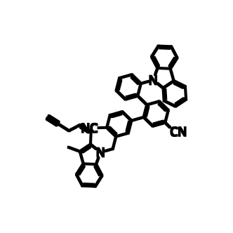 C#CC/C=C\c1c(C)c2ccccc2n1Cc1cc(-c2cc(C#N)ccc2-c2ccccc2-n2c3ccccc3c3ccccc32)ccc1C#N